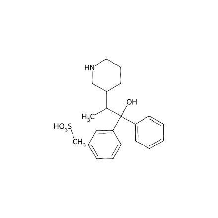 CC(C1CCCNC1)C(O)(c1ccccc1)c1ccccc1.CS(=O)(=O)O